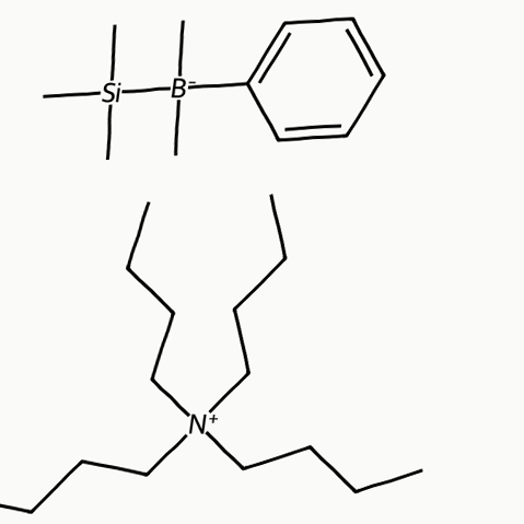 CCCC[N+](CCCC)(CCCC)CCCC.C[B-](C)(c1ccccc1)[Si](C)(C)C